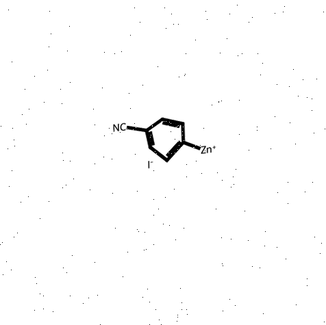 N#Cc1cc[c]([Zn+])cc1.[I-]